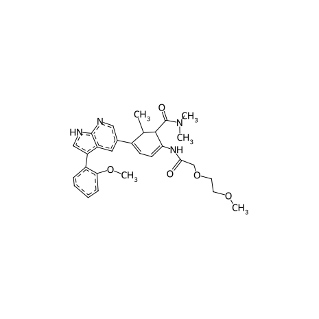 COCCOCC(=O)NC1=CC=C(c2cnc3[nH]cc(-c4ccccc4OC)c3c2)C(C)C1C(=O)N(C)C